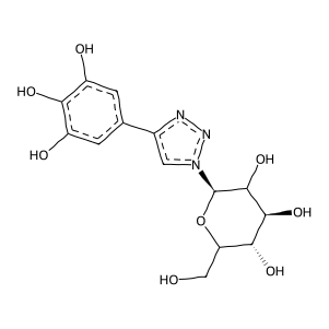 OCC1O[C@@H](n2cc(-c3cc(O)c(O)c(O)c3)nn2)C(O)[C@@H](O)[C@@H]1O